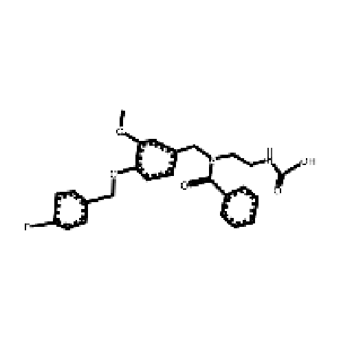 COc1cc(CN(CCNC(=O)O)C(=O)c2ccccc2)ccc1OCc1ccc(F)cc1